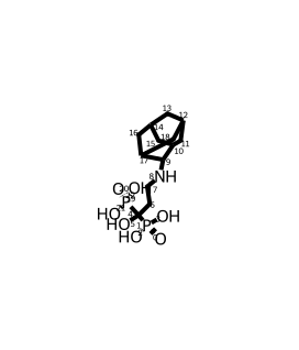 O=P(O)(O)C(O)(CCNC1C2CC3CC(C2)CC1C3)P(=O)(O)O